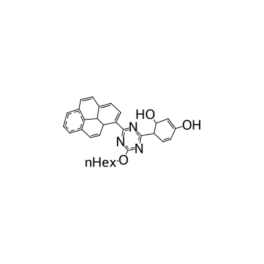 CCCCCCOc1nc(C2=CC=C3C=Cc4cccc5c4C3C2C=C5)nc(C2C=CC(O)=CC2O)n1